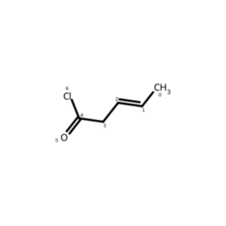 CC=CCC(=O)Cl